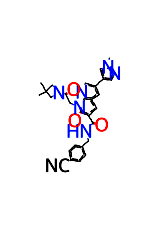 Cn1cc(-c2cnc3c(c2)cc(C(=O)NCc2ccc(C#N)cc2)c(=O)n3CC(=O)N2CC(C)(C)C2)cn1